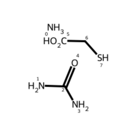 N.NC(N)=O.O=C(O)CS